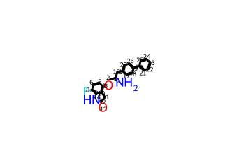 NC(COc1ccc(F)c2c1CC(=O)N2)Cc1ccc(-c2ccccc2)cc1